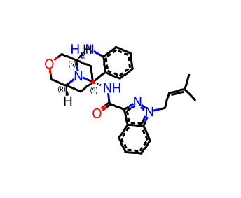 CC(C)=CCn1nc(C(=O)N[C@H]2C[C@H]3COC[C@@H](C2)N3Cc2ccccc2N)c2ccccc21